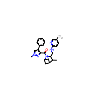 CC1C2CC(C2)N(C(=O)c2nn(C)cc2-c2ccccc2)C1CNc1ccc(C(F)(F)F)cn1